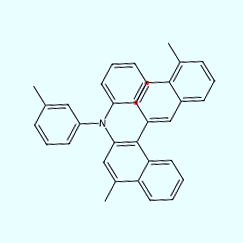 Cc1cccc(N(c2ccccc2)c2cc(C)c3ccccc3c2-c2ccc3c(C)cccc3c2)c1